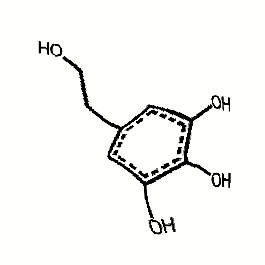 OCCc1cc(O)c(O)c(O)c1